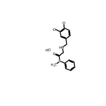 CN(C(=O)CNCc1ccc(Cl)c(Cl)c1)c1ccccc1.Cl